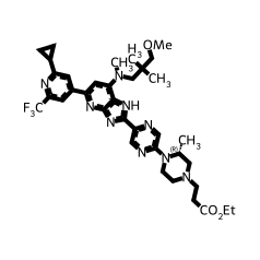 CCOC(=O)CCN1CCN(c2cnc(-c3nc4nc(-c5cc(C6CC6)nc(C(F)(F)F)c5)cc(N(C)CC(C)(C)COC)c4[nH]3)cn2)[C@H](C)C1